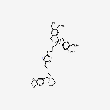 COc1ccc(C[C@@H]2c3cc(CO)c(CO)cc3CC[N@@+]2(C)CCCOC(=O)/C=C\C(=O)OCCC[N+]2(Cc3ccc4c(c3)OCO4)CCOCC2)cc1OC